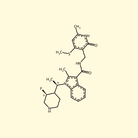 CSc1cc(C)[nH]c(=O)c1CNC(=O)c1c(C)n([C@H](C)C2CCNC[C@H]2F)c2ccccc12